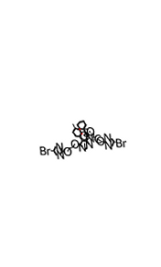 Cc1ccc(-c2c(OCCOc3ncc(Br)cn3)ncnc2N(C(C)(C)COc2ncc(Br)cn2)S(=O)(=O)c2ccccc2)cc1